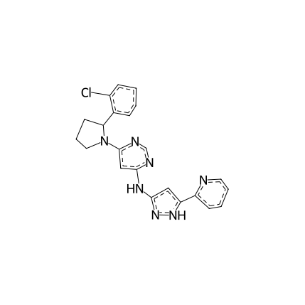 Clc1ccccc1C1CCCN1c1cc(Nc2cc(-c3ccccn3)[nH]n2)ncn1